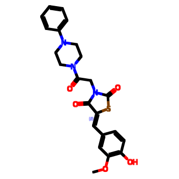 COc1cc(/C=C2\SC(=O)N(CC(=O)N3CCN(c4ccccc4)CC3)C2=O)ccc1O